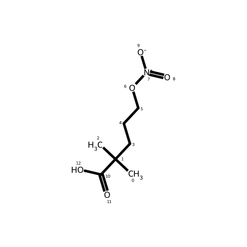 CC(C)(CCCO[N+](=O)[O-])C(=O)O